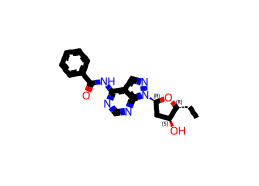 CC[C@H]1O[C@@H](n2ncc3c(NC(=O)c4ccccc4)ncnc32)C[C@@H]1O